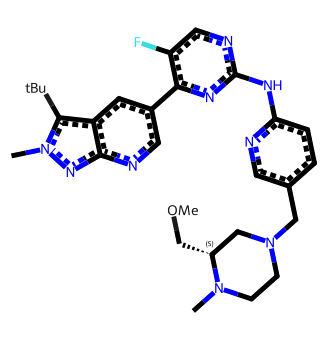 COC[C@@H]1CN(Cc2ccc(Nc3ncc(F)c(-c4cnc5nn(C)c(C(C)(C)C)c5c4)n3)nc2)CCN1C